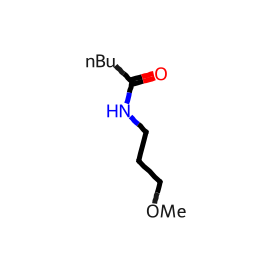 CCCCC(=O)NCCCOC